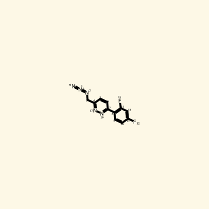 [N-]=[N+]=NCc1ccc(-c2ccc(F)cc2F)nn1